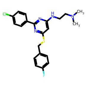 CN(C)CCNc1cc(SCc2ccc(F)cc2)nc(-c2ccc(Cl)cc2)n1